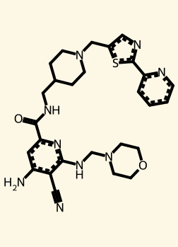 N#Cc1c(N)cc(C(=O)NCC2CCN(Cc3cnc(-c4ccccn4)s3)CC2)nc1NCN1CCOCC1